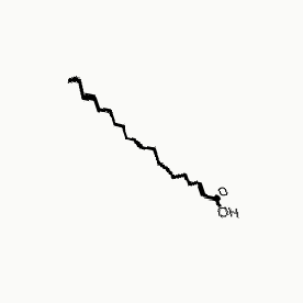 CCC=CCCCCCC=CCCCCCCC=CC(=O)O